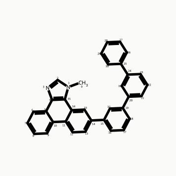 Cn1cnc2c3ccccc3c3ccc(-c4cccc(-c5cccc(-c6ccccc6)c5)c4)cc3c21